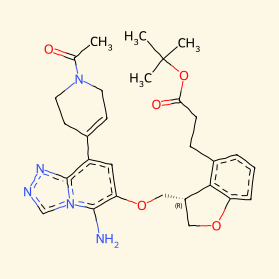 CC(=O)N1CC=C(c2cc(OC[C@H]3COc4cccc(CCC(=O)OC(C)(C)C)c43)c(N)n3cnnc23)CC1